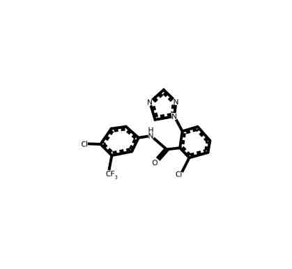 O=C(Nc1ccc(Cl)c(C(F)(F)F)c1)c1c(Cl)cccc1-n1cncn1